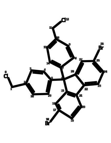 ClCc1ccc(C2(c3ccc(CCl)cc3)c3cc(Br)ccc3-c3ccc(Br)cc32)cc1